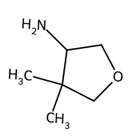 CC1(C)COCC1N